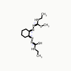 CCN/C(S)=N/N=C1\CCCC\C1=N/N=C(/NCC)SC